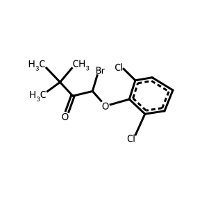 CC(C)(C)C(=O)C(Br)Oc1c(Cl)cccc1Cl